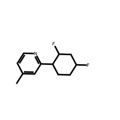 Cc1ccnc(C2CCC(F)CC2F)c1